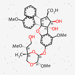 COc1ccc([C@@]23Oc4cc(O[C@@H]5O[C@@](C)([C@@H](CO)OC)CO[C@H]5OC)cc(OC)c4[C@]2(O)[C@H](O)[C@H](C(=O)O)[C@H]3c2ccccc2)cc1